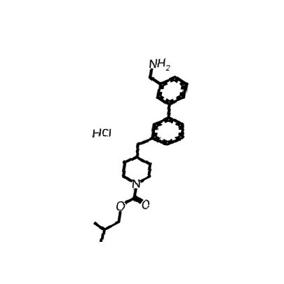 CC(C)COC(=O)N1CCC(Cc2cccc(-c3cccc(CN)c3)c2)CC1.Cl